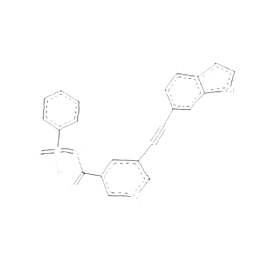 C[S@@](=O)(=NC(=O)c1cncc(C#Cc2ccc3cc[nH]c3c2)c1)c1ccccc1